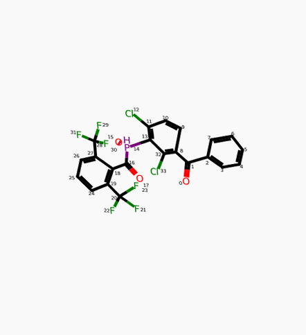 O=C(c1ccccc1)c1ccc(Cl)c([PH](=O)C(=O)c2c(C(F)(F)F)cccc2C(F)(F)F)c1Cl